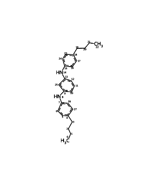 CCCCc1ccc(Nc2cccc(Nc3ccc(CCCC)cc3)c2)cc1